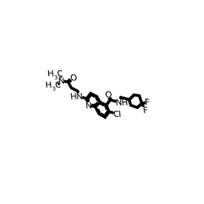 CN(C)C(=O)CCNc1ccc2c(C(=O)NCC3CCC(F)(F)CC3)c(Cl)ccc2n1